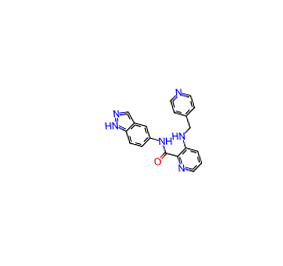 O=C(Nc1ccc2[nH]ncc2c1)c1ncccc1NCc1ccncc1